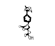 Cc1nc(-c2ccc(N3CC(OC(=O)O)OC3=O)cc2)no1